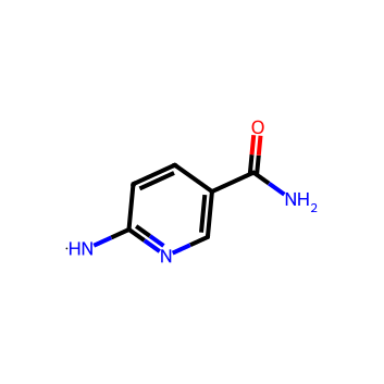 [NH]c1ccc(C(N)=O)cn1